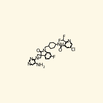 Nc1cncnc1N1CC2(C1)C(=O)N(CC1CCC(NC(=O)c3cc(Cl)cnc3C(F)F)CC1)c1cc(F)ccc12